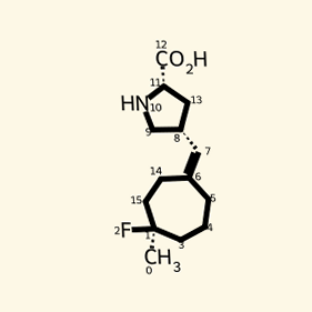 C[C@@]1(F)CCC/C(=C/[C@@H]2CN[C@H](C(=O)O)C2)CC1